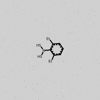 CCc1cccc(CC)c1N(S)S